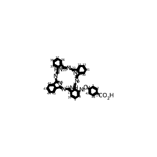 O=C(O)c1ccc([O][Ni][c]2cccc3c4nc5nc(nc6[nH]c(nc7nc(nc([nH]4)c23)-c2ccccc2-7)c2ccccc62)-c2ccccc2-5)cc1